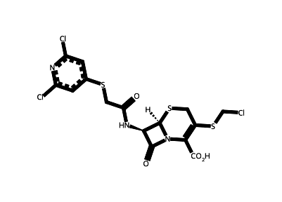 O=C(CSc1cc(Cl)nc(Cl)c1)N[C@@H]1C(=O)N2C(C(=O)O)=C(SCCl)CS[C@H]12